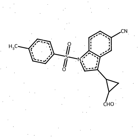 Cc1ccc(S(=O)(=O)n2cc(C3CC3C=O)c3cc(C#N)ccc32)cc1